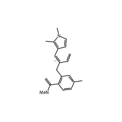 C=C/C(=C\c1ccn(C)c1C)Cc1cc(C)ccc1C(=C)NC